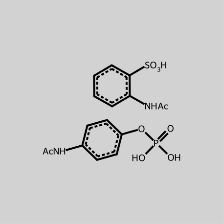 CC(=O)Nc1ccc(OP(=O)(O)O)cc1.CC(=O)Nc1ccccc1S(=O)(=O)O